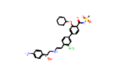 CS(=O)(=O)NC(=O)c1ccc(-c2ccc(CCNC[C@H](O)c3ccc(N)cc3)cc2)cc1OC1CCCCC1.Cl.Cl